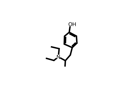 CCN(CC)C(C)Cc1ccc(O)cc1